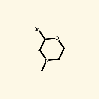 CN1[CH]C(Br)OCC1